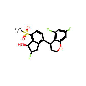 O=S(=O)(c1ccc(C2CCOc3cc(F)cc(F)c32)c2c1C(O)C(F)C2)C(F)(F)F